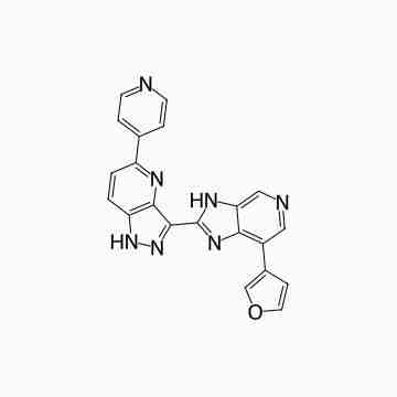 c1cc(-c2ccc3[nH]nc(-c4nc5c(-c6ccoc6)cncc5[nH]4)c3n2)ccn1